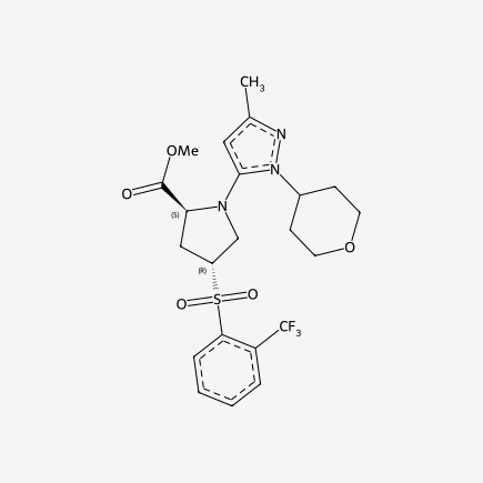 COC(=O)[C@@H]1C[C@@H](S(=O)(=O)c2ccccc2C(F)(F)F)CN1c1cc(C)nn1C1CCOCC1